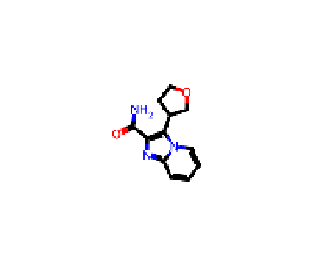 NC(=O)c1nc2ccccn2c1C1CCOC1